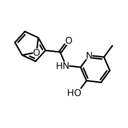 Cc1ccc(O)c(NC(=O)c2cc3ccc2o3)n1